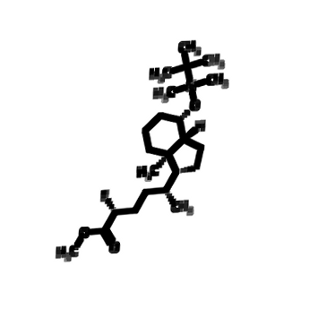 COC(=O)[C@H](F)CC[C@@H](C)[C@H]1CC[C@H]2[C@@H](O[Si](C)(C)C(C)(C)C)CCC[C@]12C